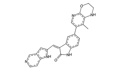 Cc1c(-c2ccc3c(c2)C(=Cc2cc4cnccc4[nH]2)C(=O)N3)cnc2c1NCCO2